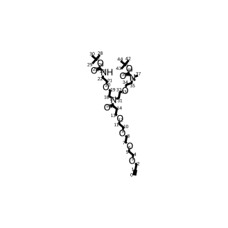 C#CCOCCOCCOCCOCCC(=O)N(CCOCCNC(=O)OC(C)(C)C)CCOCCN(C)C(=O)OC(C)(C)C